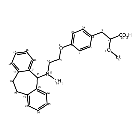 CCOC(Cc1ccc(OCCN(C)C2c3ccccc3CCc3ccccc32)cc1)C(=O)O